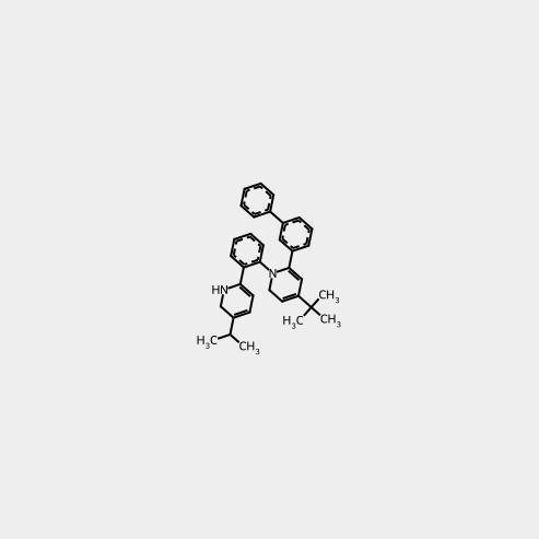 CC(C)C1=CC=C(c2ccccc2N2CC=C(C(C)(C)C)C=C2c2cccc(-c3ccccc3)c2)NC1